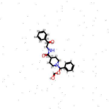 O=COC(c1ccccc1)N1CCC(C(=O)NCC(=O)c2ccccc2)CC1